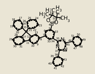 CC1(C)OB(c2cc(-c3ccc4c(c3)C(c3ccccc3)(c3ccccc3)c3ccccc3-4)cc(-c3nc(-c4ccccc4)nc(-c4ccccc4)n3)c2)OC1(C)C